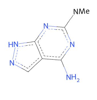 CNc1nc(N)c2cn[nH]c2n1